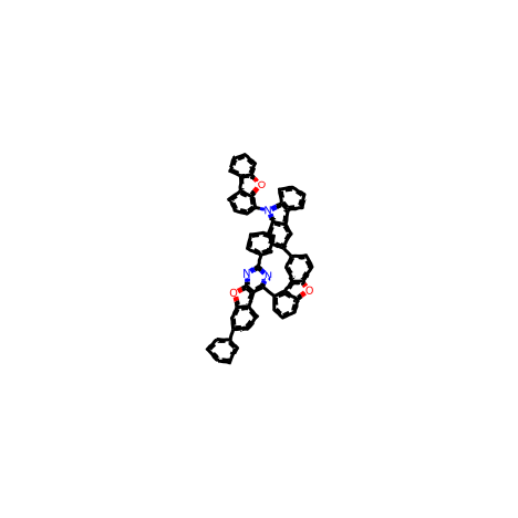 c1ccc(-c2ccc3c(c2)oc2nc(-c4ccccc4)nc(-c4cccc5oc6ccc(-c7ccc8c(c7)c7ccccc7n8-c7cccc8c7oc7ccccc78)cc6c45)c23)cc1